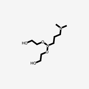 CN(C)CCCN(OCCO)OCCO